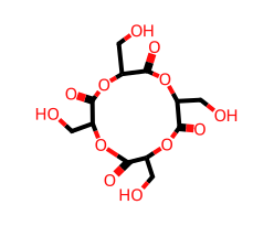 O=C1OC(CO)C(=O)OC(CO)C(=O)OC(CO)C(=O)OC1CO